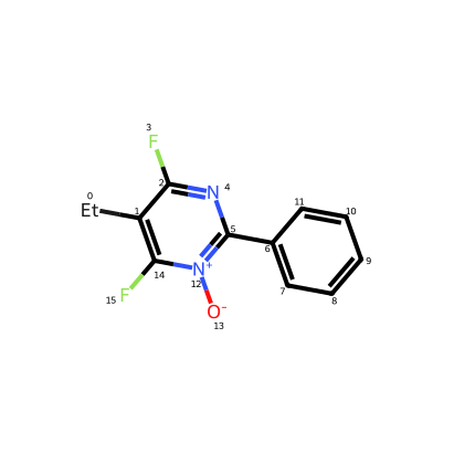 CCc1c(F)nc(-c2ccccc2)[n+]([O-])c1F